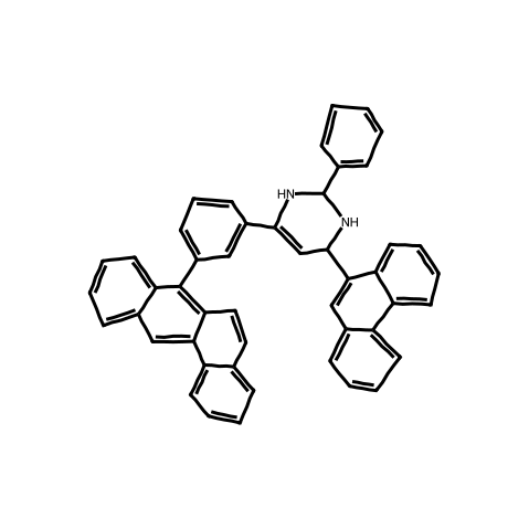 C1=C(c2cccc(-c3c4ccccc4cc4c3ccc3ccccc34)c2)NC(c2ccccc2)NC1c1cc2ccccc2c2ccccc12